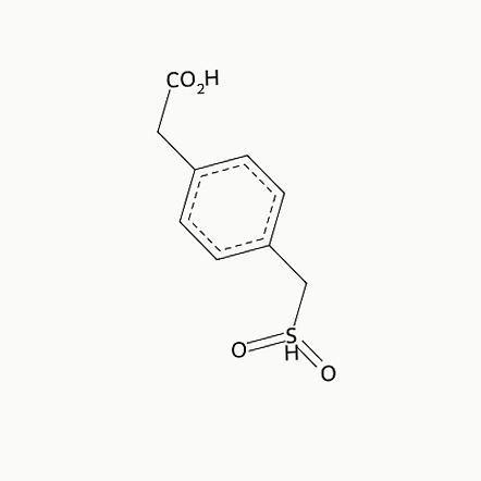 O=C(O)Cc1ccc(C[SH](=O)=O)cc1